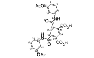 CC(=O)Oc1cccc(NC(=O)c2cc(C(=O)Nc3cccc(OC(C)=O)c3)c(C(=O)O)cc2C(=O)O)c1